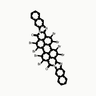 O=c1c2c(Br)c(Br)c3c4c(Br)c(Br)c5c(=O)n6c7cc8ccccc8cc7nc6c6c(Br)c(Br)c(c7c(Br)c(Br)c(c2c37)c2nc3cc7ccccc7cc3n12)c4c56